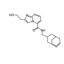 O=C(NCC1CC2=C=CCC(C2)C1)c1cccc2nc(CCO)cn12